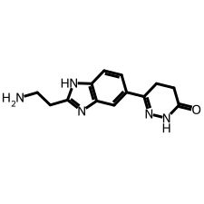 NCCc1nc2cc(C3=NNC(=O)CC3)ccc2[nH]1